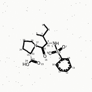 CCC(C)[C@H](NS(=O)(=O)c1ccccc1)C(=O)N1CCC[C@H]1C(=O)O